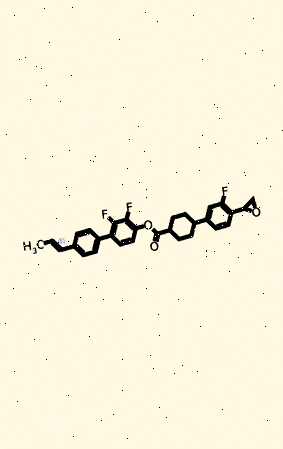 C/C=C/c1ccc(-c2ccc(OC(=O)C3CCC(c4ccc(C5CO5)c(F)c4)CC3)c(F)c2F)cc1